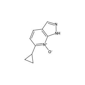 [O-][n+]1c(C2CC2)ccc2cn[nH]c21